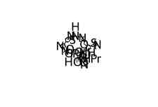 Cc1cc([C@H](C(=O)N2C[C@H](O)C[C@H]2C(=O)NCc2ccc(-c3scnc3C)cc2OCCN(C)CCNc2nc3ccc(-c4cncc(N(C)C(=O)OC(C)C)c4)cc3s2)C(C)C)on1